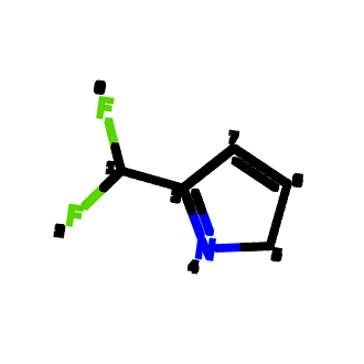 FC(F)C1=NCC=C1